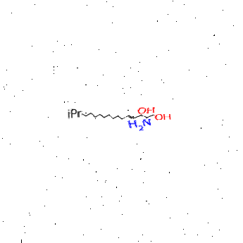 CC(C)CCCCCCCCC/C=C/C(O)C(N)CO